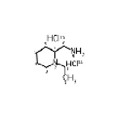 CCN1CCCCC1CN.Cl.Cl